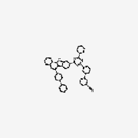 N#Cc1cccc(-c2cccc(-c3nc(-c4ccccc4)nc(-c4ccc5c(c4)oc4c6ccccc6cc(-c6ccc(-c7ccccc7)cc6)c54)n3)c2)c1